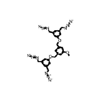 COc1cc(COc2cc(CN=[N+]=[N-])cc(CN=[N+]=[N-])c2)cc(COc2cc(CN=[N+]=[N-])cc(CN=[N+]=[N-])c2)c1